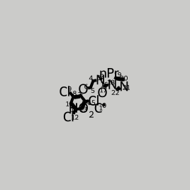 CC(=O)O.CCCN(CCOc1c(Cl)cc(Cl)cc1Cl)C(=O)n1ccnc1